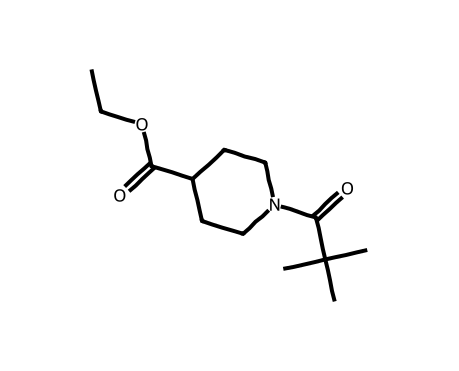 CCOC(=O)C1CCN(C(=O)C(C)(C)C)CC1